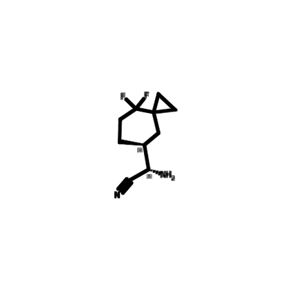 N#C[C@@H](N)[C@H]1CCC(F)(F)C2(CC2)C1